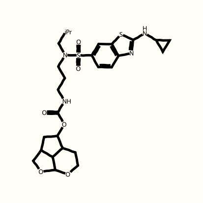 CC(C)CN(CCCNC(=O)OC1CC2COC3OCCC1C23)S(=O)(=O)c1ccc2nc(NC3CC3)sc2c1